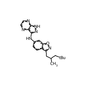 CC(Cc1noc2cc(Nc3n[nH]c4nccnc34)ccc12)CC(C)(C)C